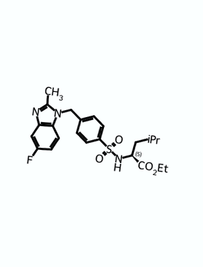 CCOC(=O)[C@H](CC(C)C)NS(=O)(=O)c1ccc(Cn2c(C)nc3cc(F)ccc32)cc1